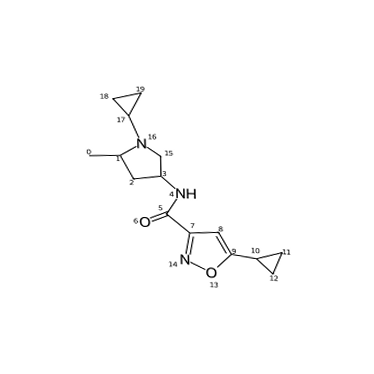 CC1CC(NC(=O)c2cc(C3CC3)on2)CN1C1CC1